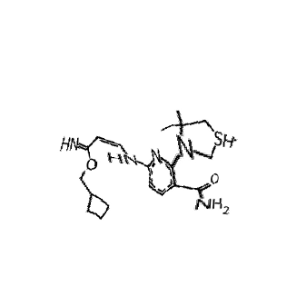 C[SH]1CN(c2nc(N/C=C\C(=N)OCC3CCC3)ccc2C(N)=O)C(C)(C)C1